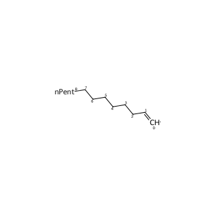 [CH]=CCCCCCCCCCCC